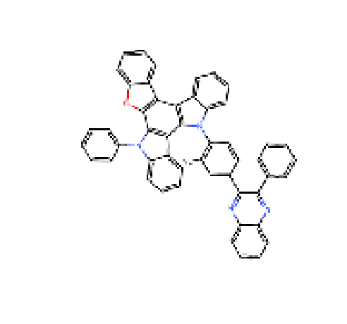 N#Cc1cc(-c2nc3ccccc3nc2-c2ccccc2)ccc1-n1c2ccccc2c2c3c4ccccc4oc3c3c(c4ccccc4n3-c3ccccc3)c21